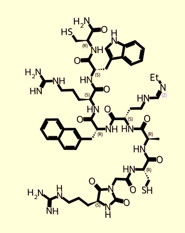 CC/N=C\NCC[C@H](NC(=O)[C@@H](C)NC(=O)[C@H](CS)NC(=O)CN1C(=O)N[C@@H](CCCNC(=N)N)C1=O)C(=O)N[C@H](Cc1ccc2ccccc2c1)C(=O)N[C@@H](CCCNC(=N)N)C(=O)N[C@@H](Cc1c[nH]c2ccccc12)C(=O)N[C@@H](CS)C(N)=O